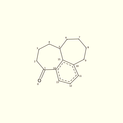 O=C1CCCC2CCCCc3cccc1c32